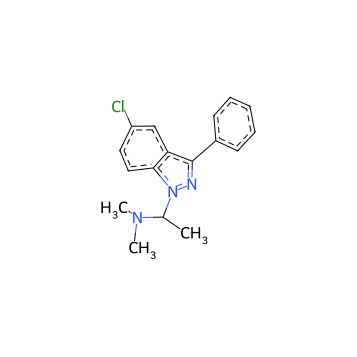 CC(N(C)C)n1nc(-c2ccccc2)c2cc(Cl)ccc21